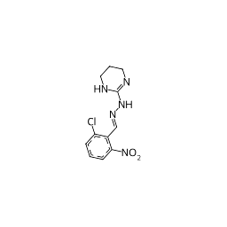 O=[N+]([O-])c1cccc(Cl)c1/C=N/NC1=NCCCN1